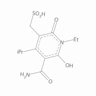 CCn1c(O)c(C(N)=O)c(C(C)C)c(CS(=O)(=O)O)c1=O